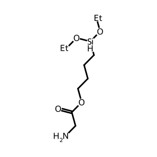 CCO[SiH](CCCCOC(=O)CN)OCC